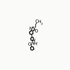 CCCCn1cnc2ccc(-c3ccc(NC(=O)c4ccccc4)nc3)cc2c1=O